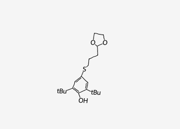 CC(C)(C)c1cc(SCCCC2OCCO2)cc(C(C)(C)C)c1O